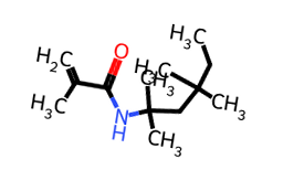 C=C(C)C(=O)NC(C)(C)CC(C)(C)CC